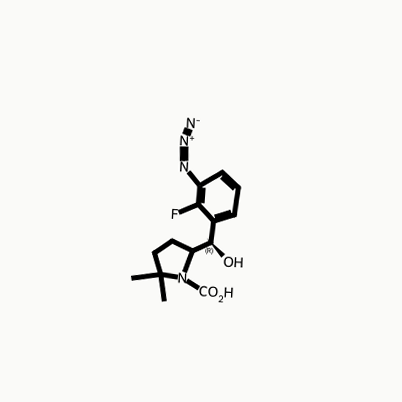 CC1(C)CCC([C@H](O)c2cccc(N=[N+]=[N-])c2F)N1C(=O)O